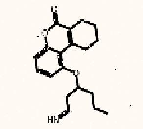 CCCC(C[C]=N)Oc1cccc2oc(=O)c3c(c12)CCCC3